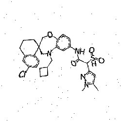 Cc1cc(C(C(=O)Nc2ccc3c(c2)N(CC2CCC2)C[C@@]2(CCCc4cc(Cl)ccc42)CO3)[SH](=O)=O)nn1C